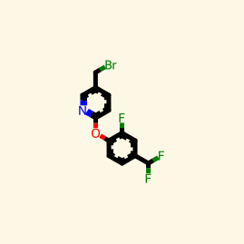 Fc1cc(C(F)F)ccc1Oc1ccc(CBr)cn1